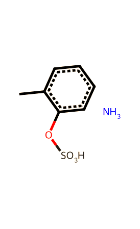 Cc1ccccc1OS(=O)(=O)O.N